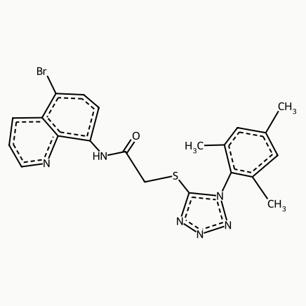 Cc1cc(C)c(-n2nnnc2SCC(=O)Nc2ccc(Br)c3cccnc23)c(C)c1